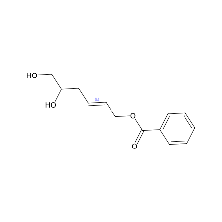 O=C(OC/C=C/CC(O)CO)c1ccccc1